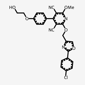 COc1nc(OCc2coc(-c3ccc(Cl)cc3)n2)c(C#N)c(-c2ccc(OCCO)cc2)c1C#N